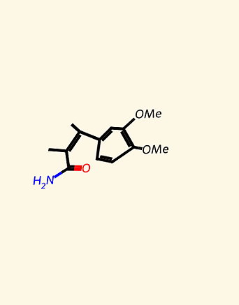 COc1ccc(C(C)=C(C)C(N)=O)cc1OC